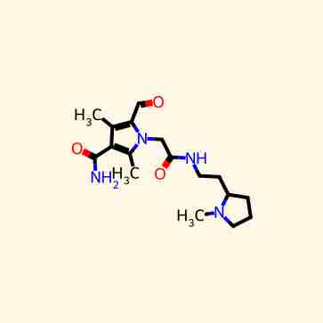 Cc1c(C(N)=O)c(C)n(CC(=O)NCCC2CCCN2C)c1C=O